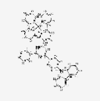 c1ccc(-c2nc(-c3ccc(-n4c5ccccc5c5ccccc54)cc3)cc(-c3ccc4c(c3)C(c3ccccc3)(c3ccccc3)c3ccccc3-4)n2)cc1